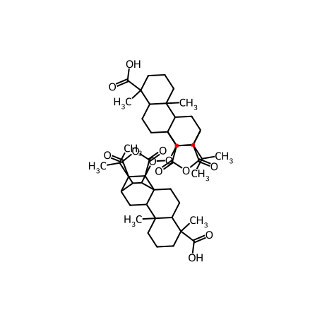 CC(C)C1C2CC3C4(C)CCCC(C)(C(=O)O)C4CCC3(C1OOC1C(C(C)C)C3CC4C5(C)CCCC(C)(C(=O)O)C5CCC14C1C(=O)OC(=O)C31)C1C(=O)OC(=O)C21